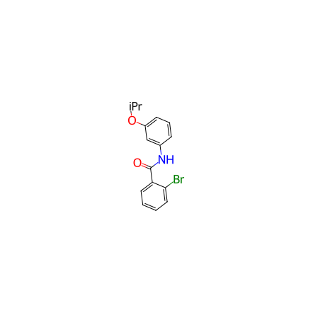 CC(C)Oc1cccc(NC(=O)c2ccccc2Br)c1